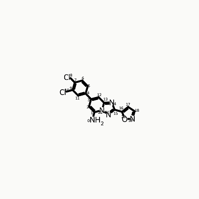 Nc1cc(-c2ccc(Cl)c(Cl)c2)cc2nc(-c3ccno3)nn12